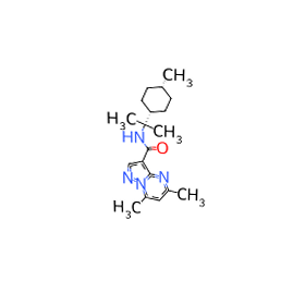 Cc1cc(C)n2ncc(C(=O)NC(C)(C)[C@H]3CC[C@@H](C)CC3)c2n1